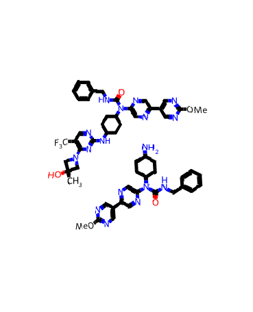 COc1ncc(-c2cnc(N(C(=O)NCc3ccccc3)C3CCC(N)CC3)cn2)cn1.COc1ncc(-c2cnc(N(C(=O)NCc3ccccc3)C3CCC(Nc4ncc(C(F)(F)F)c(N5CC(C)(O)C5)n4)CC3)cn2)cn1